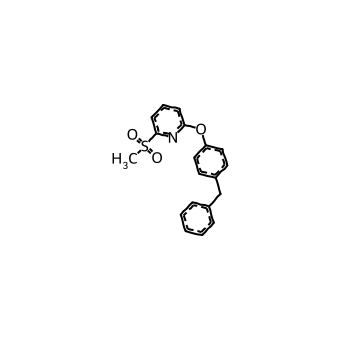 CS(=O)(=O)c1cccc(Oc2ccc(Cc3ccccc3)cc2)n1